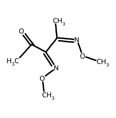 CON=C(C)C(=NOC)C(C)=O